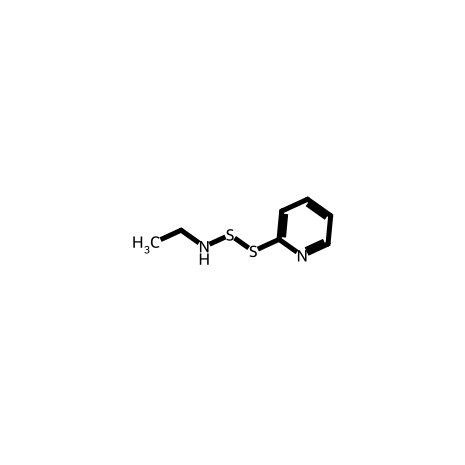 CCNSSc1ccccn1